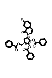 O=C(OC[C@H]1C[C@@H](n2ccc3ccc(F)cc3c2=S)[C@H](OC(=O)c2ccccc2)[C@@H]1OC(=O)c1ccccc1)c1ccccc1